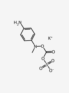 CN(OC(=O)OS(=O)(=O)[O-])c1ccc(N)cc1.[K+]